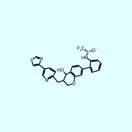 [O-][S+](Nc1ccccc1-c1ccc2c(c1)OCC(Cc1ccc(-c3cscn3)cn1)C2O)C(F)(F)F